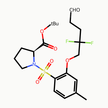 Cc1ccc(S(=O)(=O)N2CCC[C@H]2C(=O)OC(C)(C)C)c(OCC(F)(F)CCC=O)c1